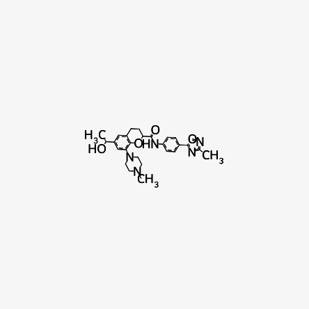 Cc1noc(-c2ccc(NC(=O)C3CCc4cc(C(C)O)cc(N5CCN(C)CC5)c4O3)cc2)n1